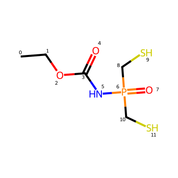 CCOC(=O)NP(=O)(CS)CS